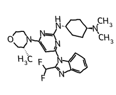 C[C@@H]1COCCN1c1cc(-n2c(C(F)F)nc3ccccc32)nc(N[C@H]2CC[C@H](N(C)C)CC2)n1